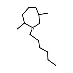 CCCCCCN1CC(C)CCCC1C